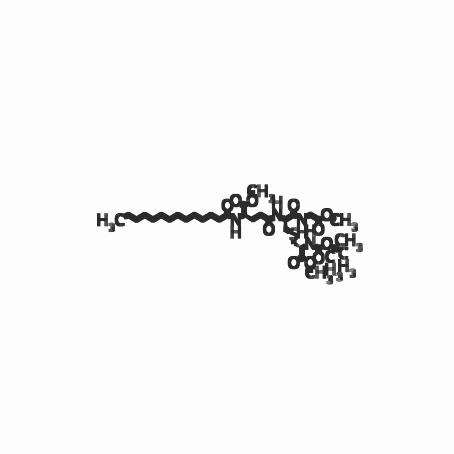 CCCCCCCCCCCCCC(=O)N[C@H](CCC(=O)N[C@H](CSC[C@H](NC(=O)OC(C)(C)C)C(=O)OC)C(=O)NCC(=O)OC)C(=O)OC